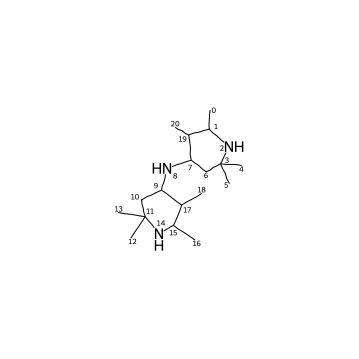 CC1NC(C)(C)CC(NC2CC(C)(C)NC(C)C2C)C1C